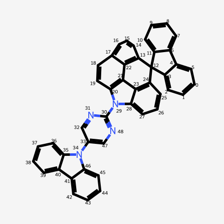 c1ccc2c(c1)-c1ccccc1C21c2cccc3ccc4c(c23)c2c1cccc2n4-c1ncc(-n2c3ccccc3c3ccccc32)cn1